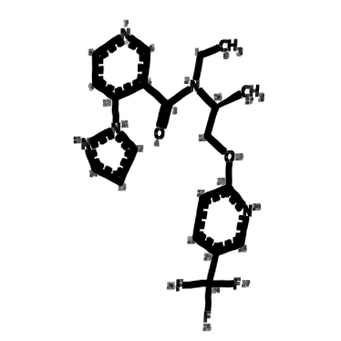 CCN(C(=O)c1cnccc1-n1cccn1)[C@@H](C)COc1ccc(C(F)(F)F)cn1